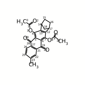 CC(=O)Oc1c2c(c(OC(C)=O)c3c1C1CCC3C1)C(=O)c1cc(C)ccc1C2=O